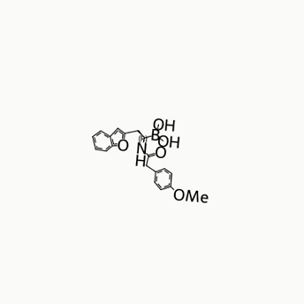 COc1ccc(CC(=O)N[C@@H](Cc2cc3ccccc3o2)B(O)O)cc1